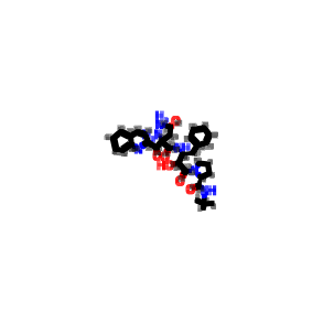 CC(C)(C)NC(=O)[C@@H]1CCCN1C(=O)C(O)[C@H](Cc1ccccc1)NC(=O)[C@@](N)(CC(N)=O)C(=O)c1ccc2ccccc2n1